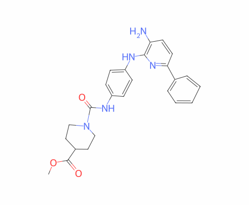 COC(=O)C1CCN(C(=O)Nc2ccc(Nc3nc(-c4ccccc4)ccc3N)cc2)CC1